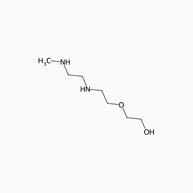 CNCCNCCOCCO